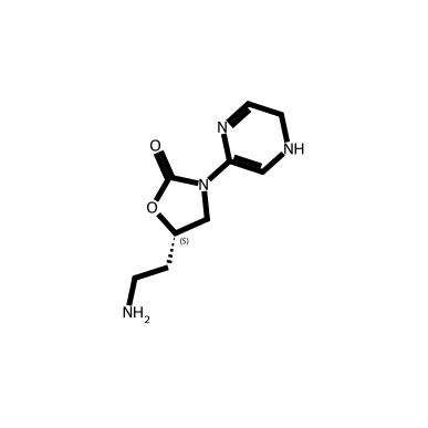 NCC[C@H]1CN(C2=CNCC=N2)C(=O)O1